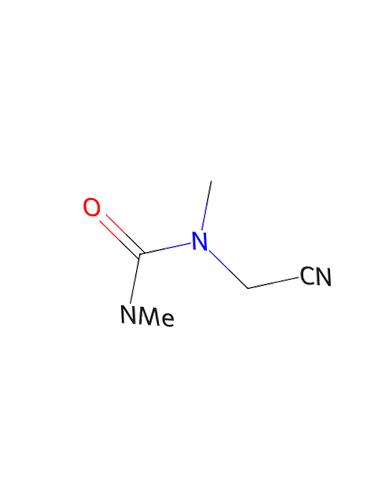 CNC(=O)N(C)CC#N